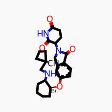 N#CC1(CNC2CCCC[C@@H]2Oc2ccc3c(c2)CN(C2CCC(=O)NC2=O)C3=O)CCC1